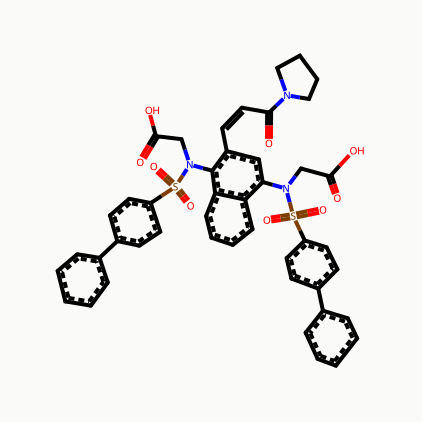 O=C(O)CN(c1cc(/C=C\C(=O)N2CCCC2)c(N(CC(=O)O)S(=O)(=O)c2ccc(-c3ccccc3)cc2)c2ccccc12)S(=O)(=O)c1ccc(-c2ccccc2)cc1